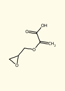 C=C(OCC1CO1)C(=O)O